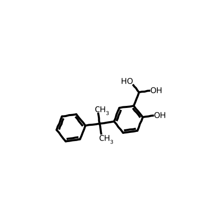 CC(C)(c1ccccc1)c1ccc(O)c(C(O)O)c1